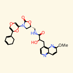 COc1ccc2nccc(CC(O)C(=O)NC[C@@H]3CN(C4=COC=C(C5=CC=CCC5)O4)C(=O)O3)c2n1